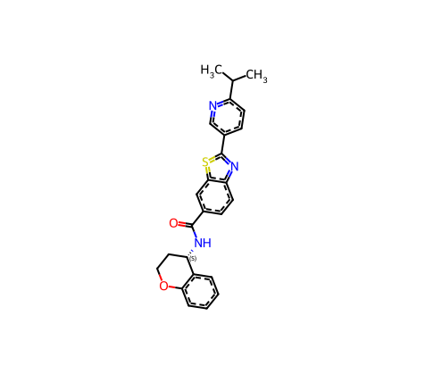 CC(C)c1ccc(-c2nc3ccc(C(=O)N[C@H]4CCOc5ccccc54)cc3s2)cn1